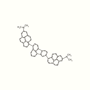 CN(C)c1cc2ccc3ccc(-c4ccc5c(c4)-c4cccc6c(-c7ccc8ccc9cc(N(C)C)cc%10ccc7c8c9%10)ccc-5c46)c4ccc(c1)c2c34